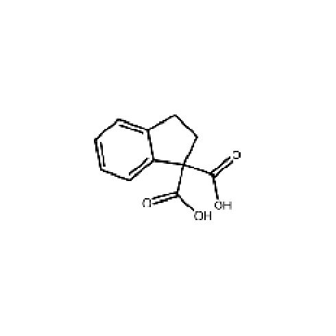 O=C(O)C1(C(=O)O)CCc2ccccc21